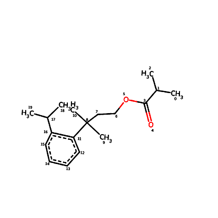 CC(C)C(=O)OCCC(C)(C)c1ccccc1C(C)C